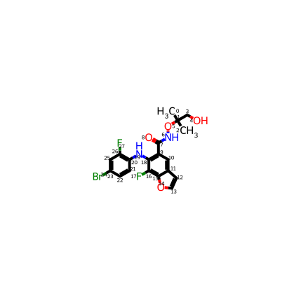 CC(C)(CO)ONC(=O)c1cc2ccoc2c(F)c1Nc1ccc(Br)cc1F